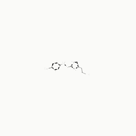 OCCc1cnc(N=Nc2ccc(Br)cc2)[nH]1